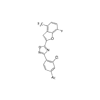 CC(=O)c1ccc(-c2noc(-c3cc4c(C(F)(F)F)ccc(F)c4o3)n2)c(Cl)c1